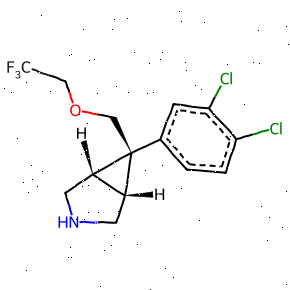 FC(F)(F)COC[C@@]1(c2ccc(Cl)c(Cl)c2)[C@@H]2CNC[C@@H]21